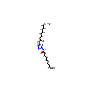 CCCCCCCCCCCCCCCCCC(=O)NC1=NC(NC(=O)CCCCCCCCCCCCCCCCC)=N[N]1